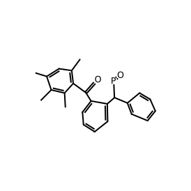 Cc1cc(C)c(C(=O)c2ccccc2C(P=O)c2ccccc2)c(C)c1C